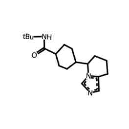 CC(C)(C)NC(=O)C1CCC(C2CCCc3cncn32)CC1